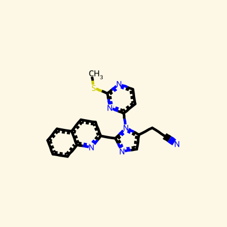 CSc1nccc(-n2c(CC#N)cnc2-c2ccc3ccccc3n2)n1